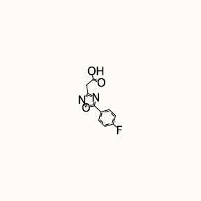 O=C(O)Cc1noc(-c2ccc(F)cc2)n1